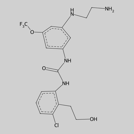 NCCNc1cc(NC(=O)Nc2cccc(Cl)c2CCO)cc(OC(F)(F)F)c1